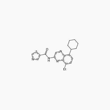 CCc1ccc(C2CCCCC2)c2ncc(NC(=O)c3cncs3)nc12